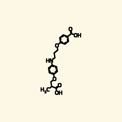 CC(COc1ccc(NCCCOc2ccc(C(=O)O)cc2)cc1)C(=O)O